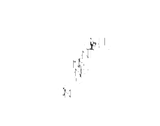 NS(=O)(=O)CCNCc1cnc(C(=O)N2CCc3c(-c4ccc5ocnc5c4)cccc32)s1